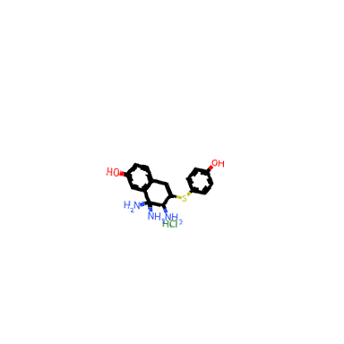 Cl.NC1C(Sc2ccc(O)cc2)Cc2ccc(O)cc2C1(N)N